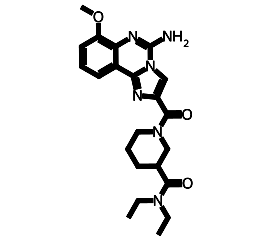 CCN(CC)C(=O)C1CCCN(C(=O)c2cn3c(N)nc4c(OC)cccc4c3n2)C1